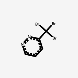 BrC(Br)(Br)c1cccnn1